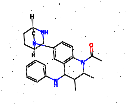 CC(=O)N1c2ccc(N3C[C@H]4CC[C@@H]3CN4)cc2C(Nc2ccccc2)C(C)C1C